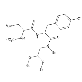 CCOC(CN(CC)C(=O)C(Cc1ccc(Cl)cc1)NC(=O)C(CN)NC(=O)O)OCC